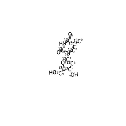 [13CH3][13c]1[13cH]n([13C@H]2[13CH2][13C@H](O)[13C@@H]([13CH2]O)O2)[13c](=O)[nH][13c]1=O